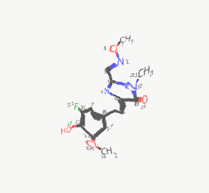 CO/N=C/C1=NC(=C\c2cc(F)c(O)c(OC)c2)/C(=O)N1C